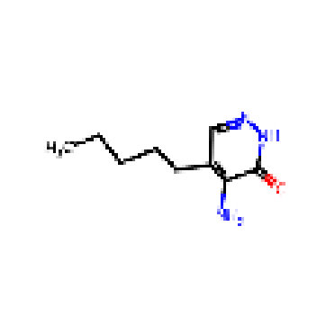 CCCCCc1cn[nH]c(=O)c1N